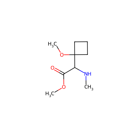 CNC(C(=O)OC)C1(OC)CCC1